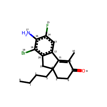 CCCCC12CCC(=O)C(C)=C1c1cc(F)c(N)c(Br)c1C2